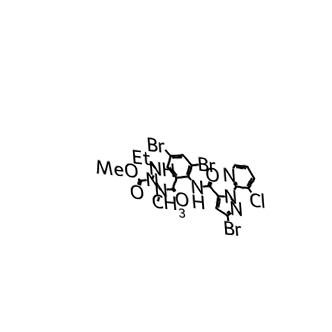 CCNN(C(=O)OC)N(C)C(=O)c1cc(Br)cc(Br)c1NC(=O)c1cc(Br)nn1-c1ncccc1Cl